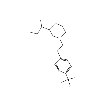 CCC(C)C1CCCN(CCc2ccc(C(C)(C)C)cc2)C1